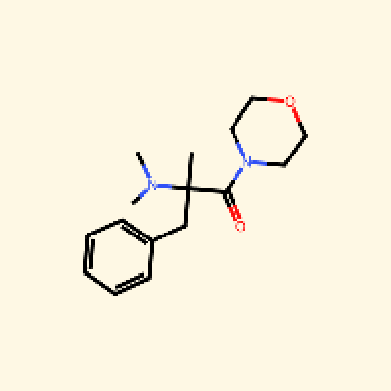 CN(C)C(C)(Cc1ccccc1)C(=O)N1CCOCC1